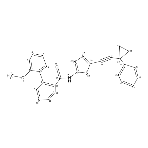 COc1ccccc1-c1cnccc1C(=O)Nc1nnc(C#CC2(c3ccccc3)CC2)s1